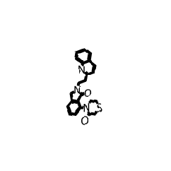 O=C1c2c(cccc2N2CCSCC2=O)CN1CCc1ccc2ccccc2n1